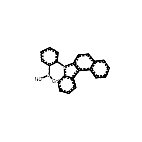 OB(O)c1ccccc1-n1c2ccccc2c2c3ccccc3ccc21